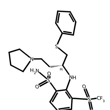 NS(=O)(=O)c1cccc(S(=O)(=O)C(F)(F)F)c1N[C@H](CCN1CCCC1)CSc1ccccc1